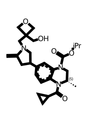 C=C1CC(c2ccc3c(c2)N(C(=O)OC(C)C)C[C@H](C)N3C(=O)C2CC2)CN1CC1(CO)COC1